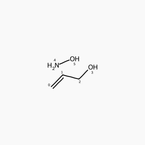 C=CCO.NO